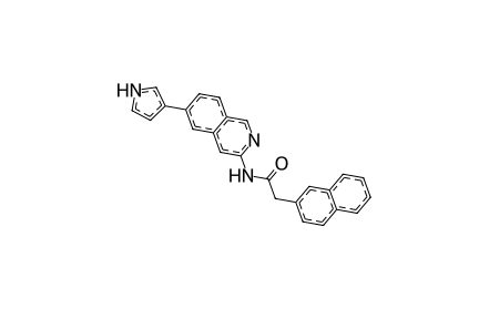 O=C(Cc1ccc2ccccc2c1)Nc1cc2cc(-c3cc[nH]c3)ccc2cn1